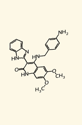 COc1cc2[nH]c(=O)c(-c3nc4ccccc4[nH]3)c(NCc3ccc(N)cc3)c2cc1OC